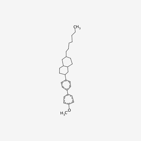 CCCCCCCC1CCC2CC(c3ccc(-c4ccc(OC)cc4)cc3)CCC2C1